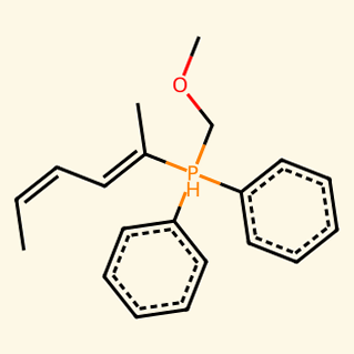 C/C=C\C=C(/C)[PH](COC)(c1ccccc1)c1ccccc1